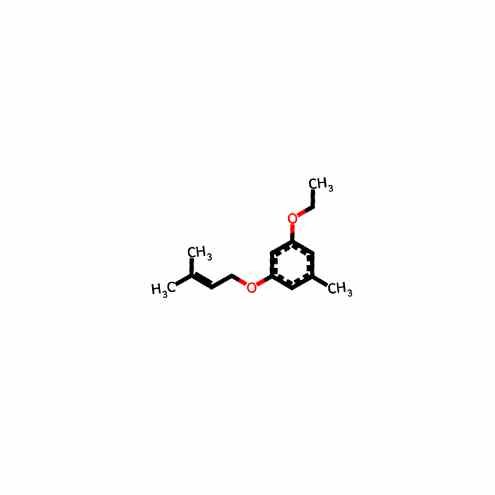 CCOc1cc(C)cc(OCC=C(C)C)c1